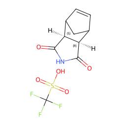 O=C1NC(=O)[C@H]2C3C=CC(C3)[C@@H]12.O=S(=O)(O)C(F)(F)F